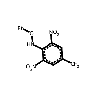 CCONc1c([N+](=O)[O-])cc(C(F)(F)F)cc1[N+](=O)[O-]